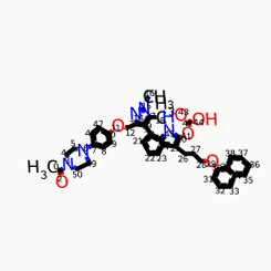 CC(=O)N1CCN(c2ccc(OCc3nn(C)c(C)c3-c3cccc4c(CCCOc5cccc6ccccc56)c(OC(=O)O)[nH]c34)cc2)CC1